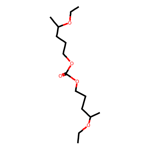 CCOC(C)CCCOC(=O)OCCCC(C)OCC